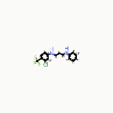 FC(F)(F)c1ccc(NCCCNc2ccccc2)cc1Cl